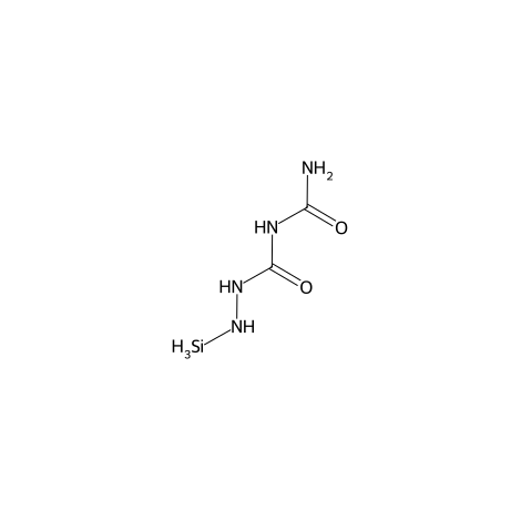 NC(=O)NC(=O)NN[SiH3]